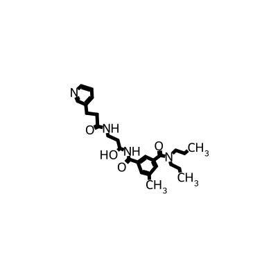 CCCN(CCC)C(=O)c1cc(C)cc(C(=O)NC(O)CCNC(=O)CCc2cccnc2)c1